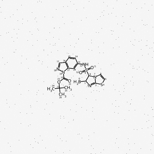 BC1N=C2SC=CN2C1S(=O)(=O)Nc1ccc2cnn(C(=O)OC(C)(C)C)c2c1